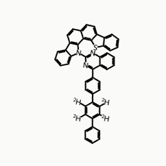 [2H]c1c([2H])c(-c2ccc(-c3nc(-n4c5ccccc5c5ccc6ccc7c8ccccc8sc7c6c54)nc4ccccc34)cc2)c([2H])c([2H])c1-c1ccccc1